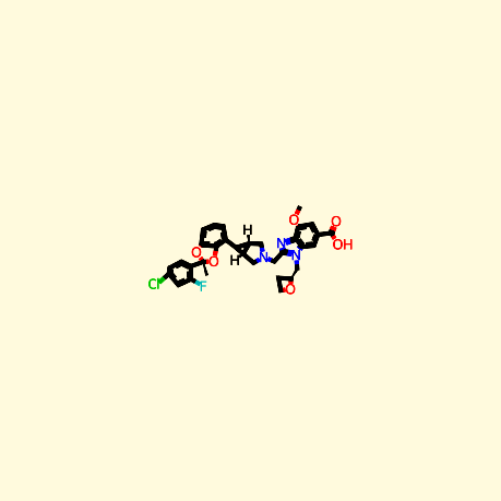 COc1cc(C(=O)O)cc2c1nc(CN1C[C@@H]3C(c4cccc5c4O[C@](C)(c4ccc(Cl)cc4F)O5)[C@@H]3C1)n2C[C@@H]1CCO1